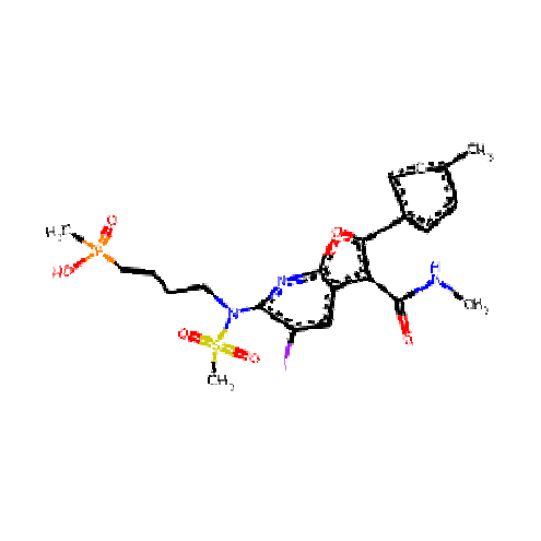 CNC(=O)c1c(-c2ccc(C)cc2)oc2nc(N(CCCCP(C)(=O)O)S(C)(=O)=O)c(I)cc12